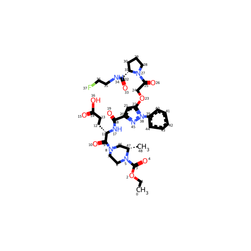 CCOC(=O)N1CCN(C(=O)[C@H](CCC(=O)O)NC(=O)c2cc(OCC(=O)N3CCC[C@H]3C(=O)NCCF)n(-c3ccccc3)n2)C[C@@H]1C